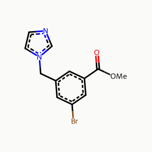 COC(=O)c1cc(Br)cc(Cn2ccnc2)c1